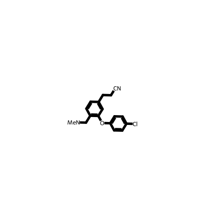 CNCc1ccc(CCC#N)cc1Oc1ccc(Cl)cc1